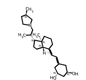 CC(CN1CC[C@@H](C)C1)[C@H]1CC[C@H]2/C(=C/C=C3C[C@@H](O)C[C@H](O)C3)CCC[C@]12C